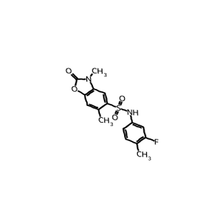 Cc1ccc(NS(=O)(=O)c2cc3c(cc2C)oc(=O)n3C)cc1F